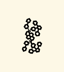 c1ccc(-c2cccc(N(c3ccc(-c4c(-c5ccccc5)cccc4-c4ccccc4)cc3)c3ccc4ccc5c(N(c6ccc(-c7c(-c8ccccc8)cccc7-c7ccccc7)cc6)c6cccc(-c7ccccc7)c6)ccc6ccc3c4c65)c2)cc1